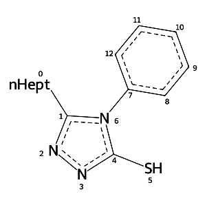 CCCCCCCc1nnc(S)n1-c1ccccc1